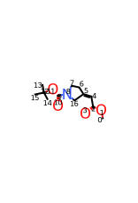 COC(=O)/C=C1/CCN(C(=O)OC(C)(C)C)C1